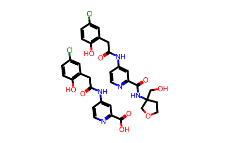 O=C(Cc1cc(Cl)ccc1O)Nc1ccnc(C(=O)NC2(CO)CCOC2)c1.O=C(Cc1cc(Cl)ccc1O)Nc1ccnc(C(=O)O)c1